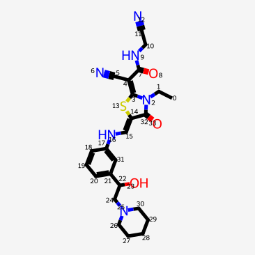 CCn1c(=C(C#N)C(=O)NCC#N)sc(=CNc2cccc(C(O)CN3CCCCC3)c2)c1=O